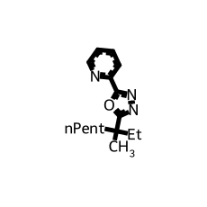 CCCCCC(C)(CC)c1nnc(-c2ccccn2)o1